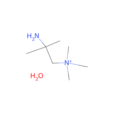 CC(C)(N)C[N+](C)(C)C.O